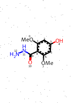 COc1cc(O)cc(OC)c1C(=O)NN